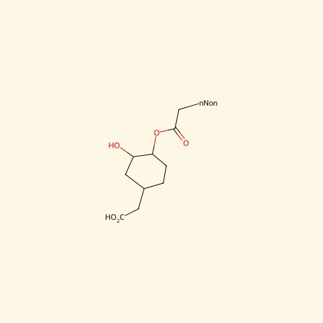 CCCCCCCCCCC(=O)OC1CCC(CC(=O)O)CC1O